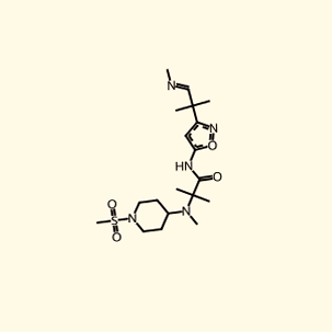 C/N=C/C(C)(C)c1cc(NC(=O)C(C)(C)N(C)C2CCN(S(C)(=O)=O)CC2)on1